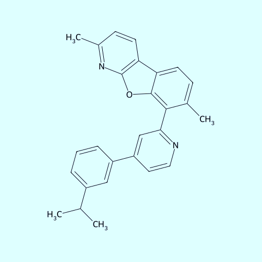 Cc1ccc2c(n1)oc1c(-c3cc(-c4cccc(C(C)C)c4)ccn3)c(C)ccc12